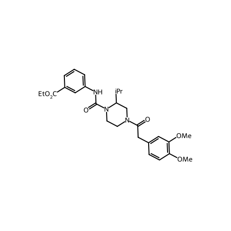 CCOC(=O)c1cccc(NC(=O)N2CCN(C(=O)Cc3ccc(OC)c(OC)c3)CC2C(C)C)c1